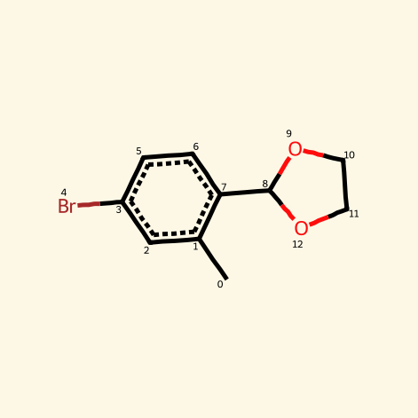 Cc1cc(Br)ccc1C1OCCO1